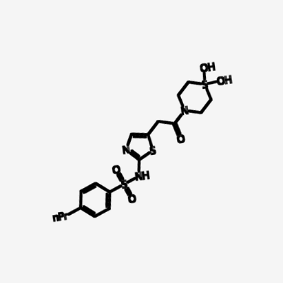 CCCc1ccc(S(=O)(=O)Nc2ncc(CC(=O)N3CCS(O)(O)CC3)s2)cc1